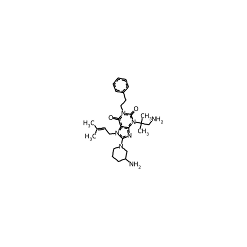 CC(C)=CCn1c(N2CCCC(N)C2)nc2c1c(=O)n(CCc1ccccc1)c(=O)n2C(C)(C)CN